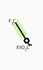 CCOC(=O)C(C)c1ccc(C(F)(F)C(F)(F)C(F)(F)C(F)(F)C(F)(F)C(F)(F)C(F)(F)C(F)(F)F)cc1